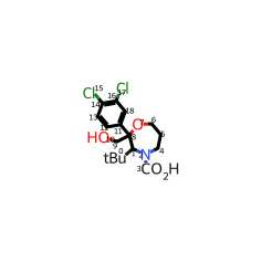 CC(C)(C)C1N(C(=O)O)CCCOC1(CO)c1ccc(Cl)c(Cl)c1